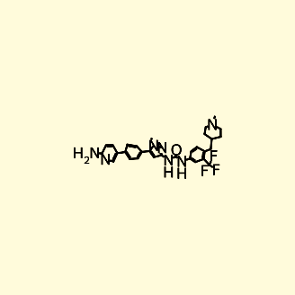 CN1CCC(Cc2ccc(NC(=O)Nc3cc(-c4ccc(-c5ccc(N)nc5)cc4)n(C)n3)cc2C(F)(F)F)CC1